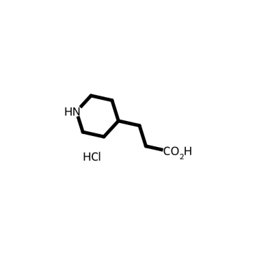 Cl.O=C(O)CCC1CCNCC1